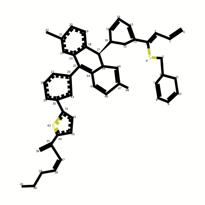 C=C/C=C(\SCC1C=CC=CC1)C1=CC=CC([C@@H]2c3ccc(C)cc3C(c3cccc(-c4ccc(C(=C)/C=C\CCC)s4)c3)=C3C=CC(C)=CC32)C1